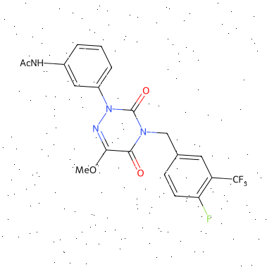 COc1nn(-c2cccc(NC(C)=O)c2)c(=O)n(Cc2ccc(F)c(C(F)(F)F)c2)c1=O